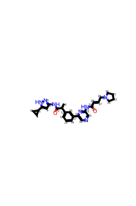 CC(C(=O)Nc1cc(C2CC2)[nH]n1)c1cccc(-c2cncc(NC(=O)C=CCN3CCCC3)n2)c1